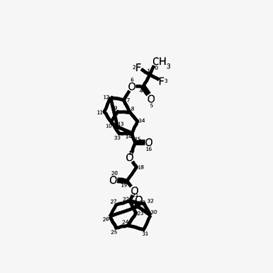 CC(F)(F)C(=O)OC1C2CC3CC1CC(C(=O)OCC(=O)OC14CC5CC(C1)C(=O)C(C5)C4)(C3)C2